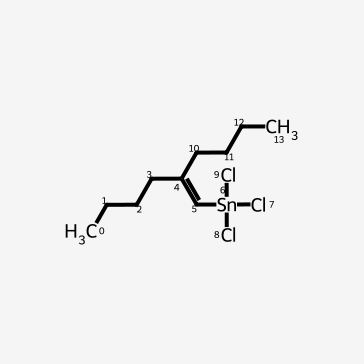 CCCCC(=[CH][Sn]([Cl])([Cl])[Cl])CCCC